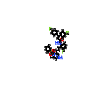 C[C@@H]1CNC[C@H](CCCc2c(F)cccc2NC(=O)CC(c2ccc(F)cc2)c2ccc(F)cc2)N1S(=O)(=O)c1ccccc1